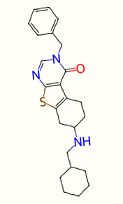 O=c1c2c3c(sc2ncn1Cc1ccccc1)CC(NCC1CCCCC1)CC3